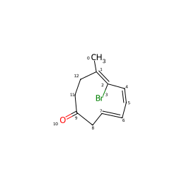 C\C1=C(Br)/C=C\C=C\CC(=O)CC1